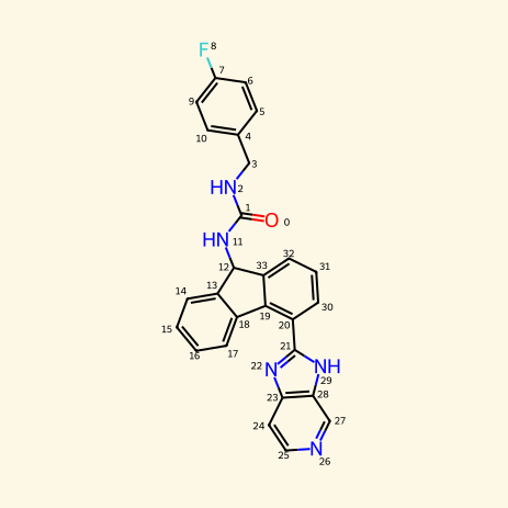 O=C(NCc1ccc(F)cc1)NC1c2ccccc2-c2c(-c3nc4ccncc4[nH]3)cccc21